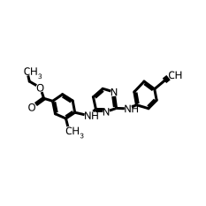 C#Cc1ccc(Nc2nccc(Nc3ccc(C(=O)OCC)cc3C)n2)cc1